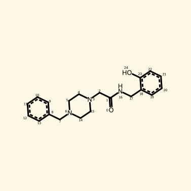 O=C(CN1CCN(Cc2ccccc2)CC1)NCc1ccccc1O